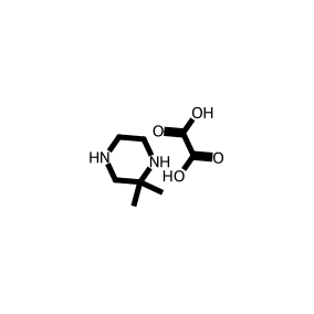 CC1(C)CNCCN1.O=C(O)C(=O)O